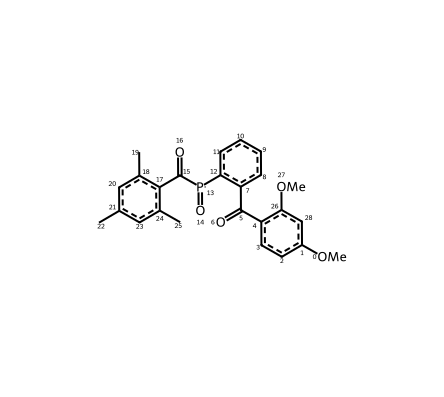 COc1ccc(C(=O)c2ccccc2[P](=O)C(=O)c2c(C)cc(C)cc2C)c(OC)c1